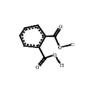 O=C(OCl)c1ccccc1C(=O)OCl